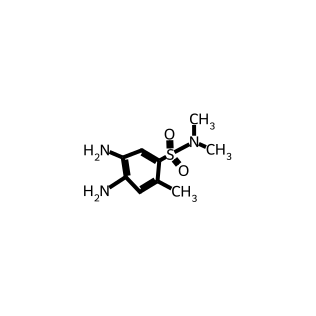 Cc1cc(N)c(N)cc1S(=O)(=O)N(C)C